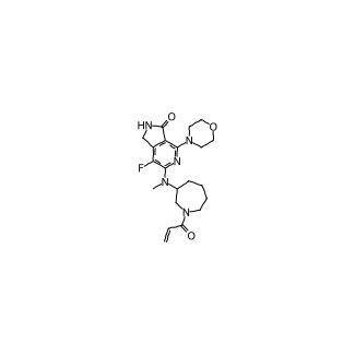 C=CC(=O)N1CCCCC(N(C)c2nc(N3CCOCC3)c3c(c2F)CNC3=O)C1